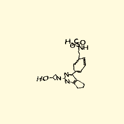 CS(=O)(=O)NCc1cccc(-c2nc(N3CC(O)C3)nc3c2CCC3)c1